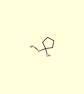 CCCOC1(O)CCCC1